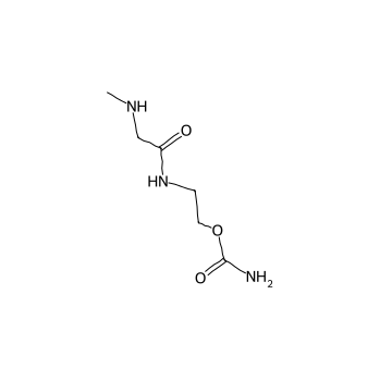 CNCC(=O)NCCOC(N)=O